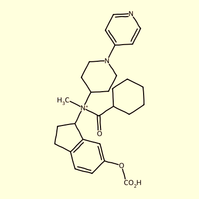 C[N+](C(=O)C1CCCCC1)(C1CCN(c2ccncc2)CC1)C1CCc2ccc(OC(=O)O)cc21